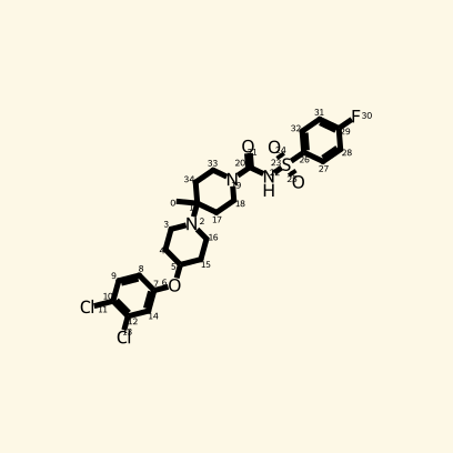 CC1(N2CCC(Oc3ccc(Cl)c(Cl)c3)CC2)CCN(C(=O)NS(=O)(=O)c2ccc(F)cc2)CC1